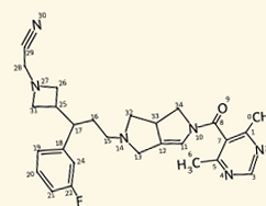 Cc1ncnc(C)c1C(=O)N1C=C2CN(CCC(c3cccc(F)c3)C3CN(CC#N)C3)CC2C1